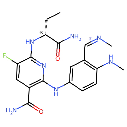 CC[C@@H](Nc1nc(Nc2ccc(NC)c(/C=N\C)c2)c(C(N)=O)cc1F)C(N)=O